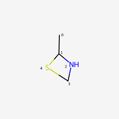 CC1NCS1